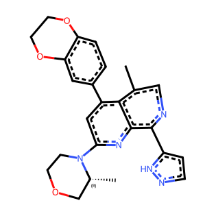 Cc1cnc(-c2ccn[nH]2)c2nc(N3CCOC[C@H]3C)cc(-c3ccc4c(c3)OCCO4)c12